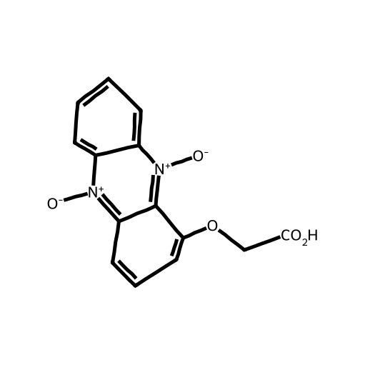 O=C(O)COc1cccc2c1[n+]([O-])c1ccccc1[n+]2[O-]